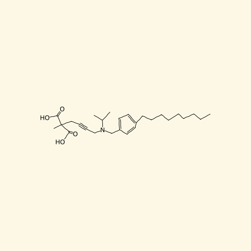 CCCCCCCCCc1ccc(CN(CC#CCC(C)(C(=O)O)C(=O)O)C(C)C)cc1